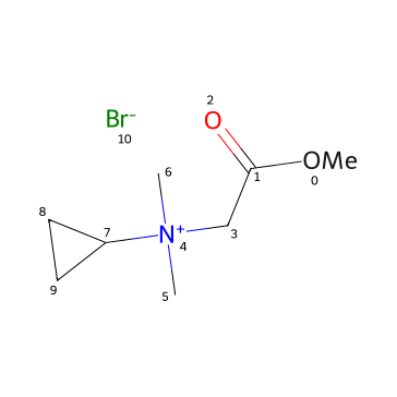 COC(=O)C[N+](C)(C)C1CC1.[Br-]